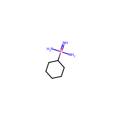 N=P(N)(N)C1CCCCC1